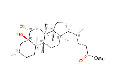 COC(=O)CC[C@@H](C)[C@H]1CC[C@H]2[C@@H]3C[C@@H](Br)[C@@]4(O)C[C@@H](C)CC[C@]4(C)[C@H]3CC[C@]12C